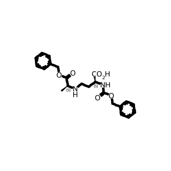 C[C@H](NCC[C@H](NC(=O)OCc1ccccc1)C(=O)O)C(=O)OCc1ccccc1